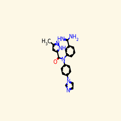 Cc1cc(C(=O)N(c2ccc(-n3ccnc3)cc2)c2cccc(C(=N)N)c2)[nH]n1